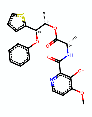 COc1ccnc(C(=O)N[C@@H](C)C(=O)O[C@@H](C)[C@@H](Oc2ccccc2)c2cccs2)c1O